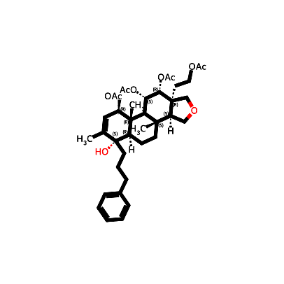 CC(=O)OCC[C@]12COC[C@H]1[C@]1(C)CC[C@@H]3[C@@](C)(C1[C@H](OC(C)=O)[C@@H]2OC(C)=O)[C@H](OC(C)=O)C=C(C)[C@]3(O)CCCc1ccccc1